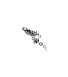 CC[C@H]1CC[C@@H](c2ccc(-c3cnc(-c4ccc(C[C@H](N)C(=O)N[C@H](C)C(=O)OC(C)(C)C)cc4)nc3)cc2)CC1